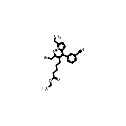 CCOC(=O)CCCCc1c(CBr)nn2c(CC)ccc2c1-c1cccc(C#N)c1